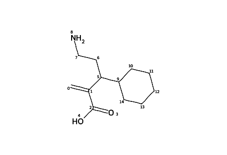 C=C(C(=O)O)C(CCN)C1CCCCC1